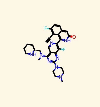 C#Cc1c(F)ccc2cc(=O)[nH]c(-c3ncc4c(N(C)C[C@@H]5CCCCN5)nc(N5CCN(C)CC5)nc4c3F)c12